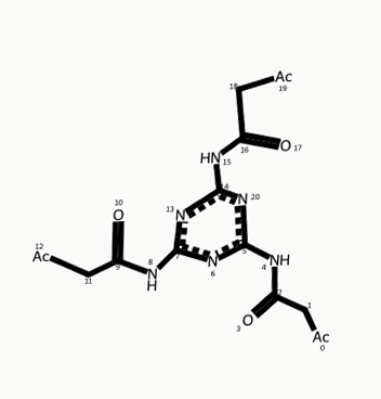 CC(=O)CC(=O)Nc1nc(NC(=O)CC(C)=O)nc(NC(=O)CC(C)=O)n1